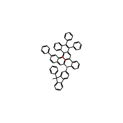 CC1(c2ccccc2)c2ccccc2-c2ccc(N(c3ccc4cc(-c5ccccc5)ccc4c3)c3ccccc3-c3ccc4c(c3)c(-c3ccccc3)c(-c3ccccc3)c3ccccc34)cc21